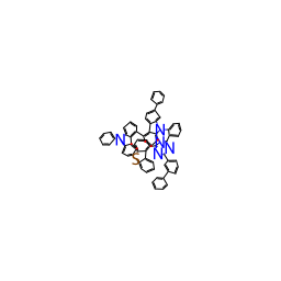 c1ccc(-c2cccc(-c3nc(-c4ccccc4-n4c5cc(-c6ccccc6)ccc5c5c(-c6cccc7c6c6ccccc6n7-c6ccccc6)cccc54)nc(-c4cccc5sc6ccccc6c45)n3)c2)cc1